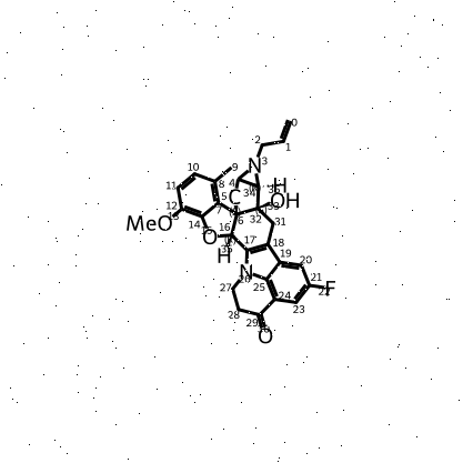 C=CCN1C2C[C@]34c5c(C)ccc(OC)c5O[C@H]3c3c(c5cc(F)cc6c5n3CCC6=O)C[C@@]4(O)[C@@H]21